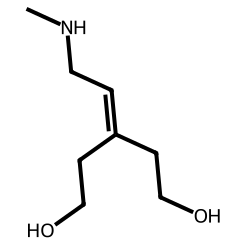 CNCC=C(CCO)CCO